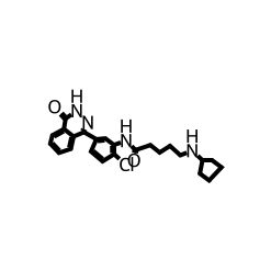 O=C(CCCCNC1CCCC1)Nc1cc(-c2n[nH]c(=O)c3ccccc23)ccc1Cl